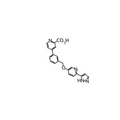 O=C(O)c1cc(-c2cccc(COc3ccc(-c4ccn[nH]4)nc3)c2)ccn1